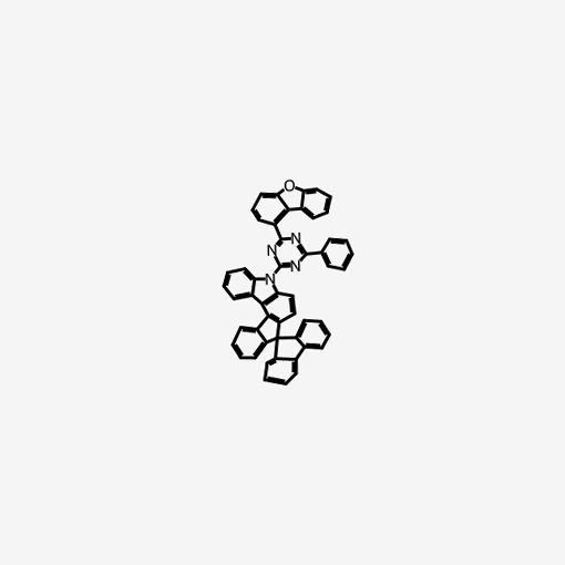 c1ccc(-c2nc(-c3cccc4oc5ccccc5c34)nc(-n3c4ccccc4c4c5c(ccc43)C3(c4ccccc4-c4ccccc43)c3ccccc3-5)n2)cc1